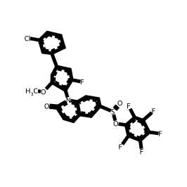 COc1cc(-c2cccc(Cl)c2)cc(F)c1-n1c(=O)ccc2cc(S(=O)Oc3c(F)c(F)c(F)c(F)c3F)ccc21